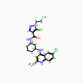 O=C(N[C@@H]1CCC[C@H](Nc2cc(C(F)(F)F)nc3ccc(Cl)cc23)C1)c1cnn(CCF)c1Cl